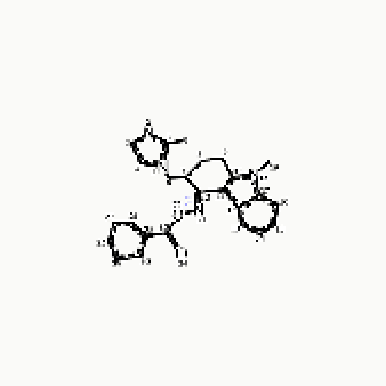 Cc1nccn1CC1CCc2c(c3ccccc3n2C)/C1=N/OC(=O)c1ccccc1